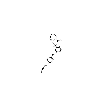 CC#CCOc1cnc(C(=O)Nc2ccc(F)c([C@]3(CC)CS4(=O)=NCCCCN4C(N)=N3)c2)cn1